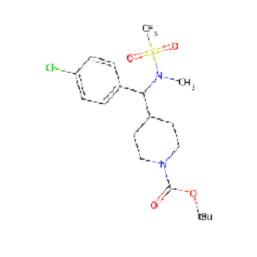 CN(C(c1ccc(Cl)cc1)C1CCN(C(=O)OC(C)(C)C)CC1)S(=O)(=O)C(F)(F)F